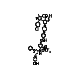 Cc1c(C(=O)O)c(-c2cc(N3CCN(c4ccc(NSc5ccc(N[C@H](CCN6CCC(O)CC6)CSc6ccccc6)c(S(=O)(=O)C(F)(F)F)c5)cc4)CC3)cc(F)c2F)c(-c2ccc(Cl)cc2)n1C